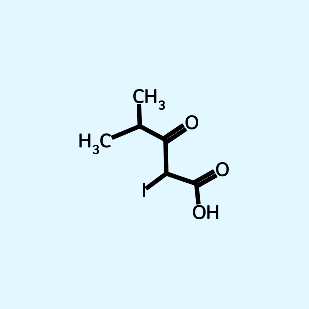 CC(C)C(=O)C(I)C(=O)O